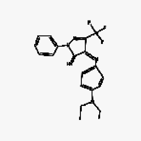 CCN(CC)c1ccc(N=C2C(=N)N(c3ccccc3)N=C2C(F)(F)F)cc1